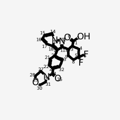 O=C(O)C1CC(F)(F)CCC1c1nn2ccccc2c1-c1ccc(C(=O)N2CCOCC2)cc1